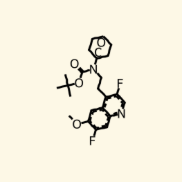 COc1cc2c(CCN(C(=O)OC(C)(C)C)C34CCC(CC3)OC4)c(F)cnc2cc1F